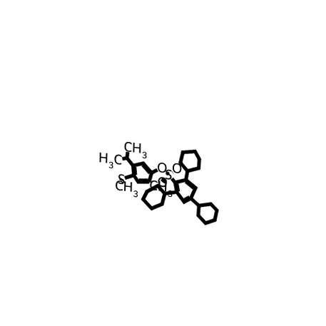 CSc1cc(C)c(OS(=O)(=O)c2c(C3CCCCC3)cc(C3CCCCC3)cc2C2CCCCC2)cc1C(C)C